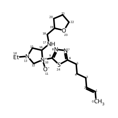 CC=CCCCc1nnc([N+]2([O-])CN(CC)CC2NCC2CCCO2)s1